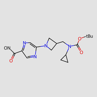 CC(C)(C)OC(=O)N(CC1CN(c2cnc(C(=O)N=O)cn2)C1)C1CC1